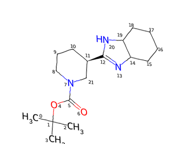 CC(C)(C)OC(=O)N1CCC[C@@H](C2=NC3CCCCC3N2)C1